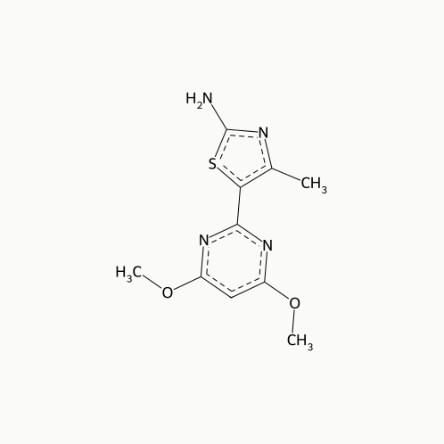 COc1cc(OC)nc(-c2sc(N)nc2C)n1